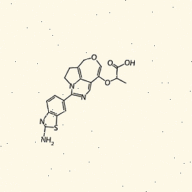 CC(OC1=COCC2=C3C1=CN=C(c1ccc4nc(N)sc4c1)N3CC2)C(=O)O